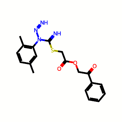 Cc1ccc(C)c(N(N=N)C(=N)SCC(=O)OCC(=O)c2ccccc2)c1